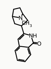 CN1C2CCC1CC(c1cc3ccccc3c(=O)[nH]1)C2